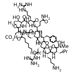 CCCCCCCCCCCCCCCC(=O)N[C@@H](CC(=O)O)C(=O)N[C@H](C(=O)N[C@@H](CCCNC(=N)N)C(=O)N[C@@H](CCC(N)=O)C(=O)N[C@@H](CCC(N)=O)C(=O)N[C@@H](Cc1ccc(O)cc1)C(=O)N[C@@H](CCCNC(=N)N)C(=O)N[C@@H](CCCCN)C(=O)N[C@@H](CC(C)C)C(=O)NC)[C@@H](C)O